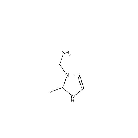 CC1NC=CN1CN